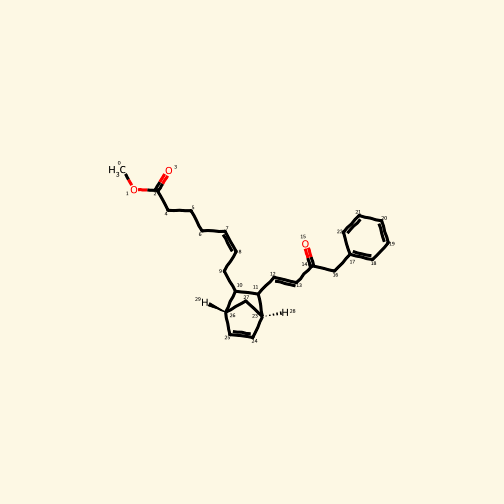 COC(=O)CCC/C=C\CC1C(C=CC(=O)Cc2ccccc2)[C@H]2C=C[C@H]1C2